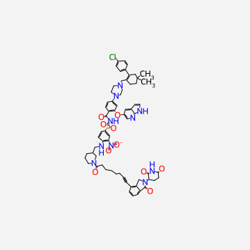 CC1(C)CCC(CN2CCN(c3ccc(C(=O)NS(=O)(=O)c4ccc(NCC5CCCN(C(=O)CCCCCC#Cc6cccc7c6CN(C6CCC(=O)NC6=O)C7=O)C5)c([N+](=O)[O-])c4)c(Oc4cnc5[nH]ccc5c4)c3)CC2)=C(c2ccc(Cl)cc2)C1